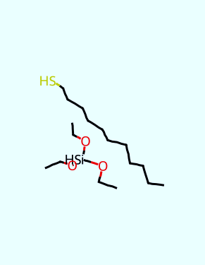 CCCCCCCCCCCS.CCO[SiH](OCC)OCC